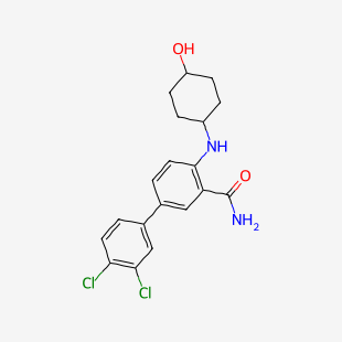 NC(=O)c1cc(-c2ccc(Cl)c(Cl)c2)ccc1NC1CCC(O)CC1